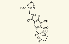 O=C(NCc1ncccc1C(F)(F)F)c1cn2c(c(O)c1=O)C(=O)N1[C@@H]3CC[C@H](C3)O[C@H]1C2